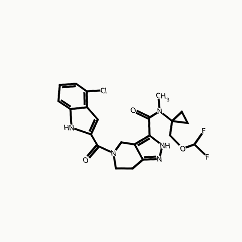 CN(C(=O)c1[nH]nc2c1CN(C(=O)c1cc3c(Cl)cccc3[nH]1)CC2)C1(COC(F)F)CC1